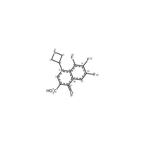 O=C(O)c1cn(C2CSC2)c2c(F)c(F)c(F)cc2c1=O